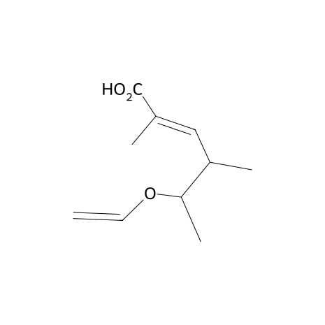 C=COC(C)C(C)C=C(C)C(=O)O